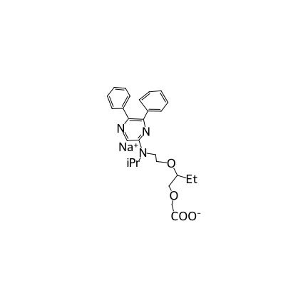 CCC(COCC(=O)[O-])OCCN(c1cnc(-c2ccccc2)c(-c2ccccc2)n1)C(C)C.[Na+]